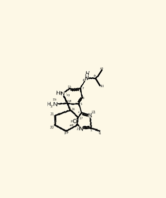 Cc1noc(C2=CC(NC(C)C)=CNC2(N)C2CCCCC2)n1